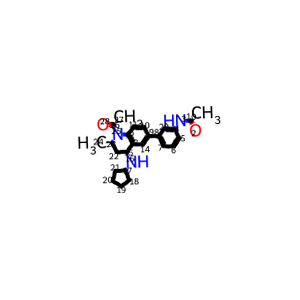 CC(=O)Nc1cccc(-c2ccc3c(c2)[C@H](NC2CCCC2)C[C@H](C)N3C(C)=O)c1